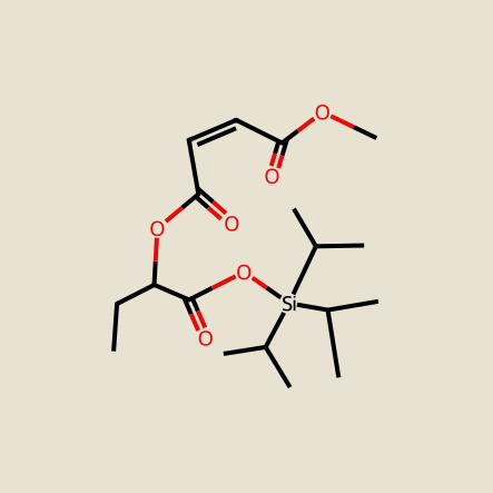 CCC(OC(=O)/C=C\C(=O)OC)C(=O)O[Si](C(C)C)(C(C)C)C(C)C